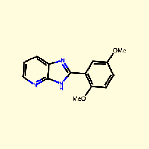 COc1ccc(OC)c(-c2nc3cccnc3[nH]2)c1